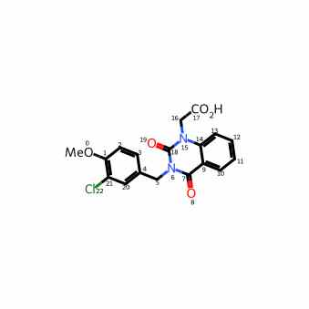 COc1ccc(Cn2c(=O)c3ccccc3n(CC(=O)O)c2=O)cc1Cl